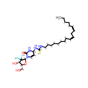 CCCCC/C=C\C/C=C\CCCCCCCCNC(=S)NC1C=CN([C@@H]2O[C@H](CO)[C@@H](O)C2(F)F)C(=O)N1